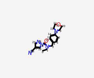 CCN(Cc1ccc(N2CCOCC2)cc1)C(=O)n1cc(C#N)cn1